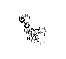 Cc1cc(-c2cc(C)c(OCC(C)(CC(C)C)NC(=O)OC(C)(C)C)cn2)ccn1